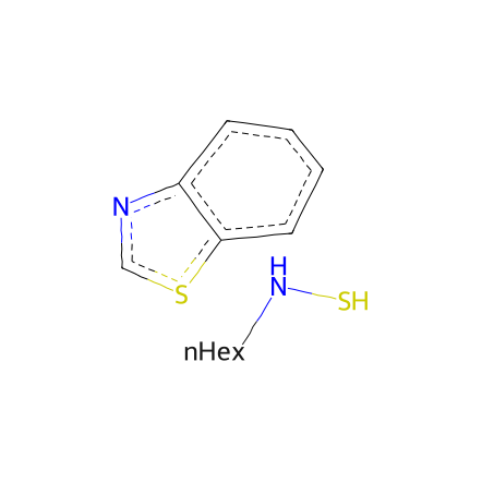 CCCCCCNS.c1ccc2scnc2c1